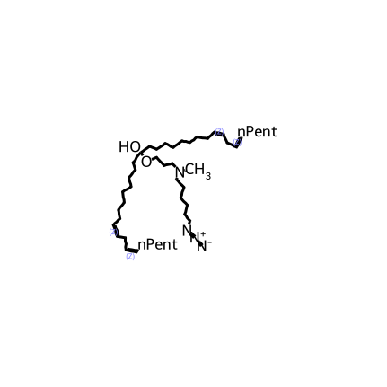 CCCCC/C=C\C/C=C\CCCCCCCCC(O)(CCCCCCCC/C=C\C/C=C\CCCCC)OCCCN(C)CCCCCCN=[N+]=[N-]